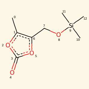 Cc1oc(=O)oc1CO[Si](C)(C)C